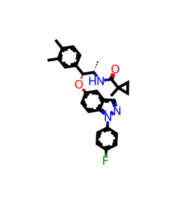 Cc1ccc([C@@H](Oc2ccc3c(cnn3-c3ccc(F)cc3)c2)[C@H](C)NC(=O)C2(C)CC2)cc1C